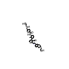 Cc1c(NC(=O)c2ccc(CNCCO)cn2)cccc1-c1ccnc(/C=C/c2ccc3c(c2)CCN(CCO)C3)c1C#N